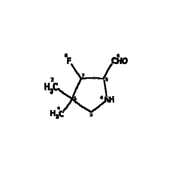 CC1(C)CNC(C=O)C1F